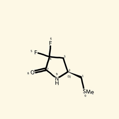 CSC[C@@H]1CC(F)(F)C(=O)N1